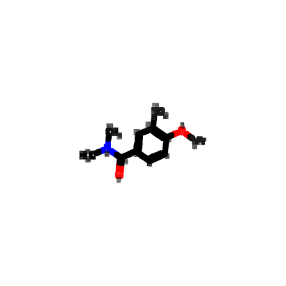 CCCOc1ccc(C(=O)N(C)C)cc1[N+](=O)[O-]